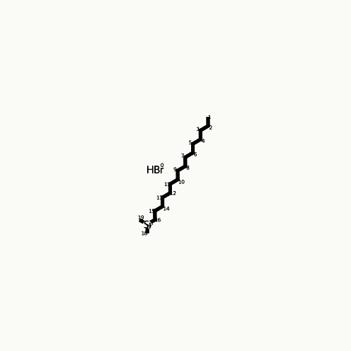 Br.CCCCCCCCCCCCCCCC[Si](C)C